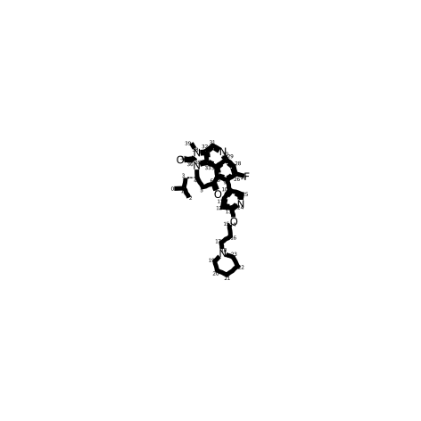 CC(C)C[C@H]1CC(=O)c2c(-c3ccc(OCCCN4CCCCC4)nc3)c(F)cc3ncc4c(c23)n1c(=O)n4C